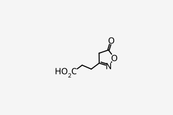 O=C(O)CCC1=NOC(=O)C1